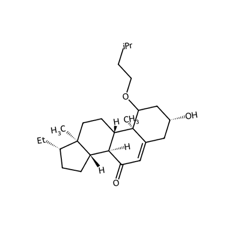 CC[C@H]1CC[C@H]2[C@@H]3C(=O)C=C4C[C@@H](O)CC(OCCC(C)C)[C@]4(C)[C@H]3CC[C@]12C